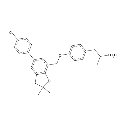 CC(Cc1ccc(OCc2cc(-c3ccc(Cl)cc3)cc3c2OC(C)(C)C3)cc1)C(=O)O